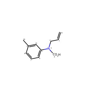 C=CCN(C(=O)O)c1cccc(C)c1